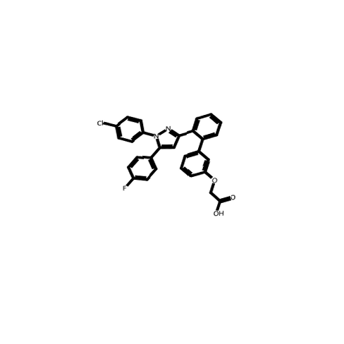 O=C(O)COc1cccc(-c2ccccc2-c2cc(-c3ccc(F)cc3)n(-c3ccc(Cl)cc3)n2)c1